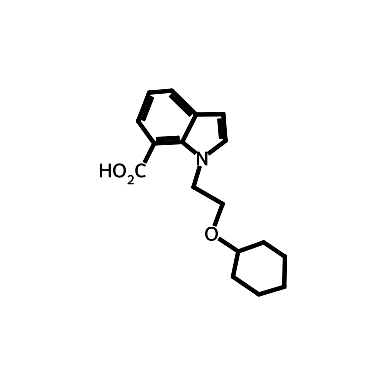 O=C(O)c1cccc2ccn(CCOC3CCCCC3)c12